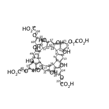 O=C(O)COc1ccc(C2c3cc(c(O)cc3O)C(c3ccc(OCC(=O)O)cc3)c3cc(c(O)cc3O)C(c3ccc(OCC(=O)O)cc3)c3cc(c(O)cc3O)C(c3ccc(OCC(=O)O)cc3)c3cc2c(O)cc3O)cc1